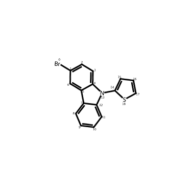 Brc1ccc2c(c1)c1ccccc1n2-c1cccs1